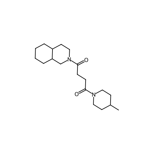 CC1CCN(C(=O)CCC(=O)N2CCC3CCCCC3C2)CC1